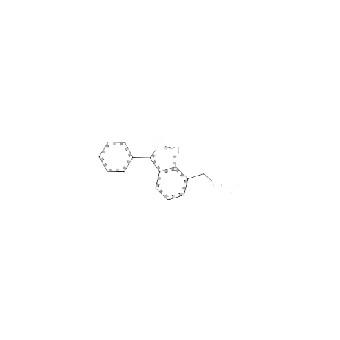 O=C(O)Cc1cccc2c(-c3ccccc3)onc12